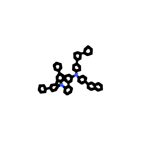 c1ccc(-c2cccc(-c3ccc(N(c4ccc(-c5ccc6ccccc6c5)cc4)c4cccc(-c5ccccc5-n5c6ccc(-c7ccccc7)cc6c6cc(-c7ccccc7)ccc65)c4)cc3)c2)cc1